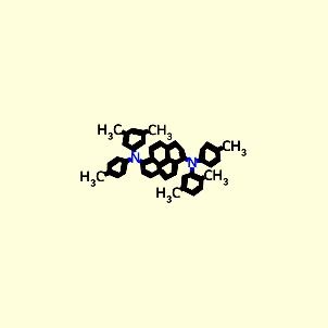 Cc1ccc(N(c2cc(C)cc(C)c2)c2ccc3ccc4c(N(c5ccc(C)cc5)c5cc(C)ccc5C)ccc5ccc2c3c54)cc1